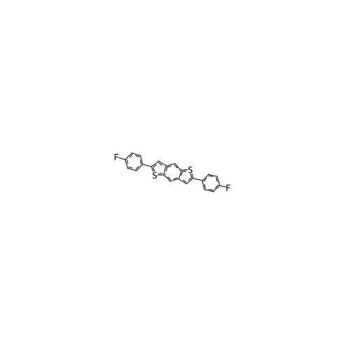 Fc1ccc(-c2cc3cc4sc(-c5ccc(F)cc5)cc4cc3s2)cc1